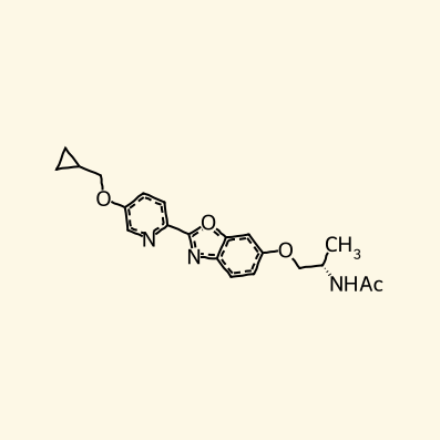 CC(=O)N[C@@H](C)COc1ccc2nc(-c3ccc(OCC4CC4)cn3)oc2c1